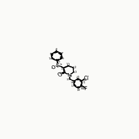 O=C1C([S+]([O-])c2ccccc2)CCCN1Cc1ccc(F)c(Cl)c1